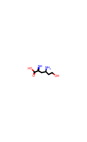 N=C(CC(N)CCO)C(=O)O